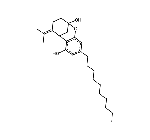 CCCCCCCCCCc1cc(O)c2c(c1)OC1(O)CCC(=C(C)C)C2C1